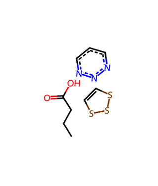 C1=CSSS1.CCCC(=O)O.c1cnnnc1